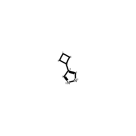 C1=N[N]C=C1C1CCC1